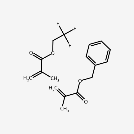 C=C(C)C(=O)OCC(F)(F)F.C=C(C)C(=O)OCc1ccccc1